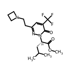 COC(=O)[C@H](CC(C)C)n1nc(CCN2CCC2)cc(C(F)(F)F)c1=O